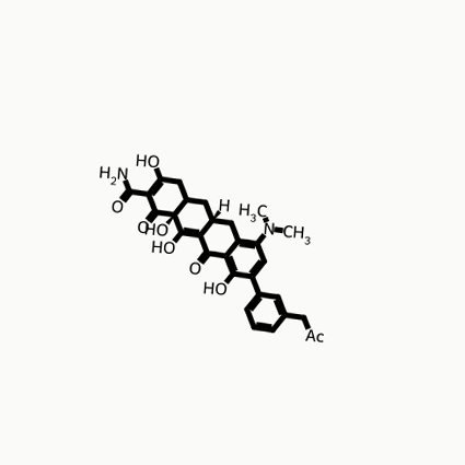 CC(=O)Cc1cccc(-c2cc(N(C)C)c3c(c2O)C(=O)C2=C(O)[C@]4(O)C(=O)C(C(N)=O)=C(O)CC4C[C@@H]2C3)c1